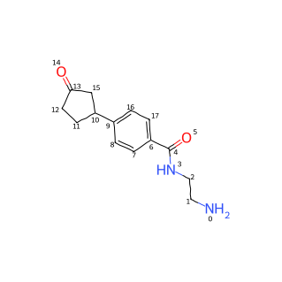 NCCNC(=O)c1ccc(C2CCC(=O)C2)cc1